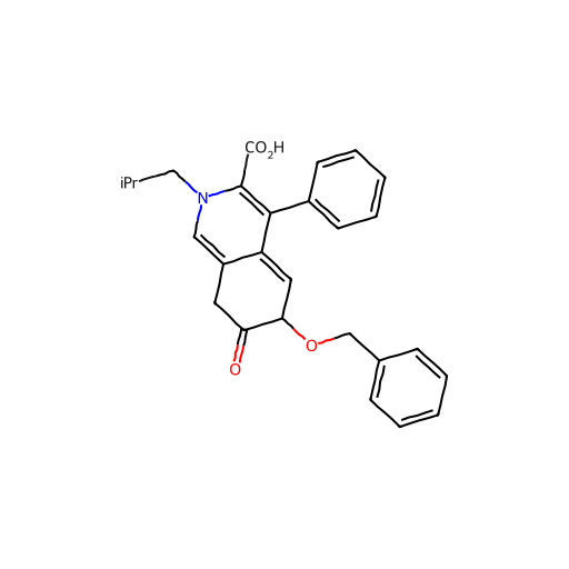 CC(C)CN1C=C2CC(=O)C(OCc3ccccc3)C=C2C(c2ccccc2)=C1C(=O)O